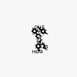 Cc1ccc(C2(C)COc3cccc(C4CCN(Cc5nc6ccc(C(=O)O)cc6n5CC5CCO5)CC4)c3O2)c(F)c1